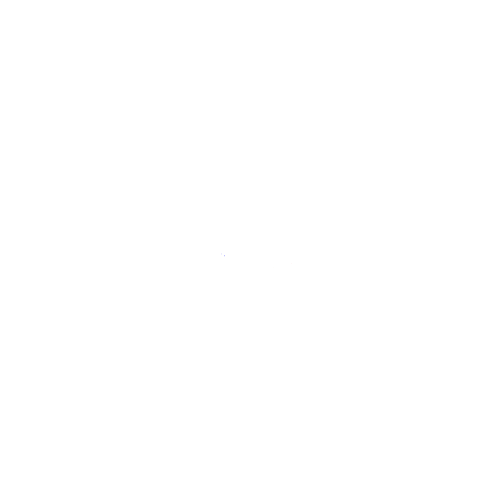 CCC1(CC)CS(=O)(=O)c2ccccc2C(C2=CCCCC2)=N1